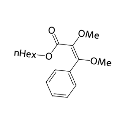 CCCCCCOC(=O)C(OC)=C(OC)c1ccccc1